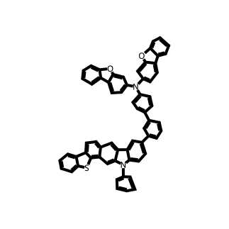 c1ccc(-n2c3ccc(-c4cccc(-c5ccc(N(c6ccc7c(c6)oc6ccccc67)c6ccc7c(c6)oc6ccccc67)cc5)c4)cc3c3cc4ccc5c6ccccc6sc5c4cc32)cc1